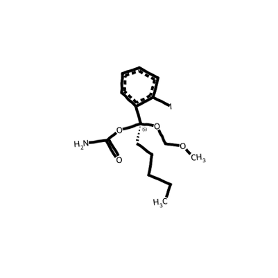 CCCCC[C@](OCOC)(OC(N)=O)c1ccccc1I